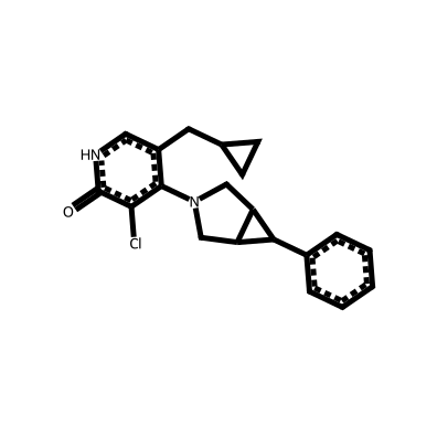 O=c1[nH]cc(CC2CC2)c(N2CC3C(C2)C3c2ccccc2)c1Cl